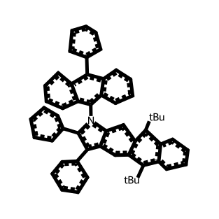 CC(C)(C)c1c2ccccc2c(C(C)(C)C)c2cc3c(cc12)c(-c1ccccc1)c(-c1ccccc1)n3-c1c2ccccc2c(-c2ccccc2)c2ccccc12